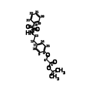 CC(C)OC(=O)COc1ccc(CCNS(=O)(=O)c2ccccc2)cc1